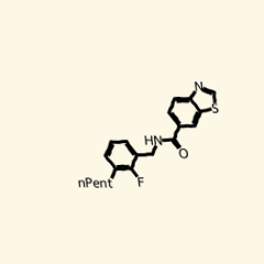 CCCCCc1cccc(CNC(=O)c2ccc3ncsc3c2)c1F